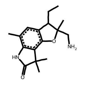 CCC1c2cc(C)c3c(c2OC1(C)CN)C(C)(C)C(=O)N3